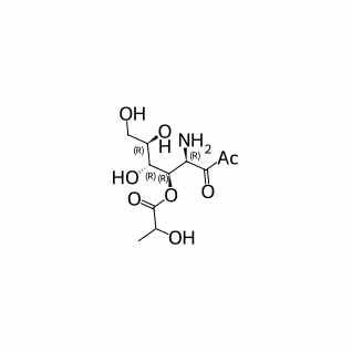 CC(=O)C(=O)[C@H](N)[C@@H](OC(=O)C(C)O)[C@H](O)[C@H](O)CO